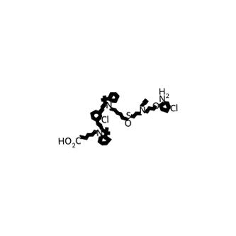 C#CCN(CCCOc1ccc(Cl)cc1N)CCCSC(=O)CCCCCN1/C(=C\C=C2/CCCC(/C=C/C3=[N+](CCCCCC(=O)O)c4ccccc4C3(C)C)=C2Cl)C(C)(C)c2ccccc21